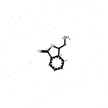 NCC1OC(=S)c2ccccc21